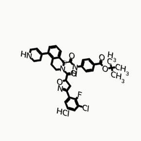 CC(C)(C)OC(=O)c1ccc(NC(=O)[C@@H]2c3cccc(C4=CCNCC4)c3CCN2C(=O)C2CC(c3cccc(Cl)c3F)=NO2)cc1.Cl